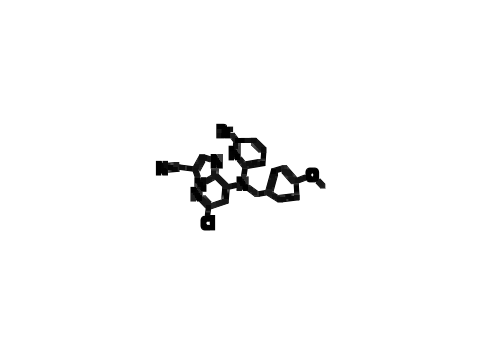 COc1ccc(CN(c2cccc(Br)n2)c2cc(Cl)nn3c(C#N)cnc23)cc1